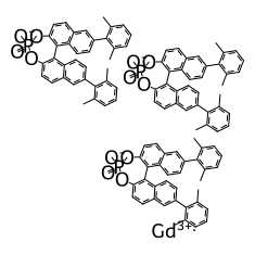 Cc1cccc(C)c1-c1ccc2c3c(ccc2c1)OP(=O)([O-])Oc1ccc2cc(-c4c(C)cccc4C)ccc2c1-3.Cc1cccc(C)c1-c1ccc2c3c(ccc2c1)OP(=O)([O-])Oc1ccc2cc(-c4c(C)cccc4C)ccc2c1-3.Cc1cccc(C)c1-c1ccc2c3c(ccc2c1)OP(=O)([O-])Oc1ccc2cc(-c4c(C)cccc4C)ccc2c1-3.[Gd+3]